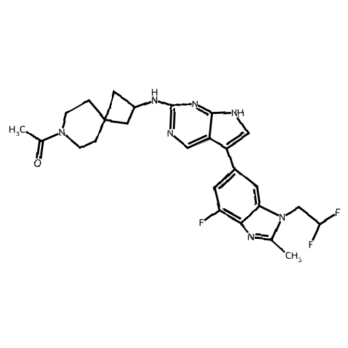 CC(=O)N1CCC2(CC1)CC(Nc1ncc3c(-c4cc(F)c5nc(C)n(CC(F)F)c5c4)c[nH]c3n1)C2